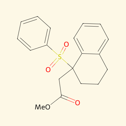 COC(=O)CC1(S(=O)(=O)c2ccccc2)CCCc2ccccc21